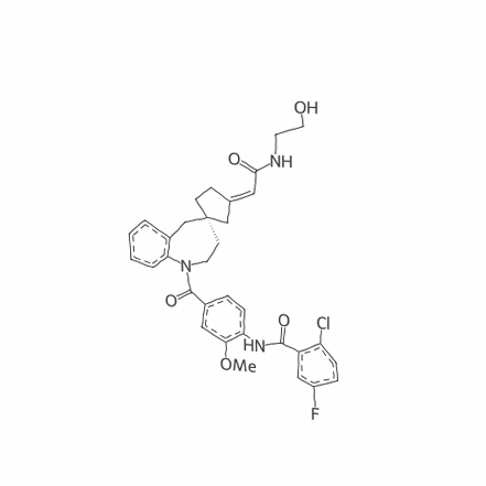 COc1cc(C(=O)N2CC[C@@]3(CC/C(=C\C(=O)NCCO)C3)Cc3ccccc32)ccc1NC(=O)c1cc(F)ccc1Cl